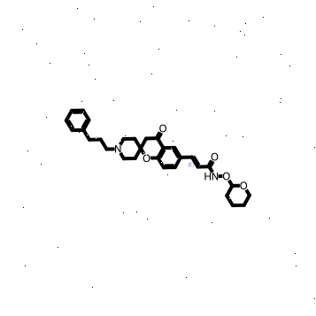 O=C(/C=C/c1ccc2c(c1)C(=O)CC1(CCN(CCCc3ccccc3)CC1)O2)NOC1CCCCO1